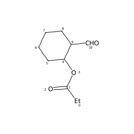 CCC(=O)OC1CCCCC1C=O